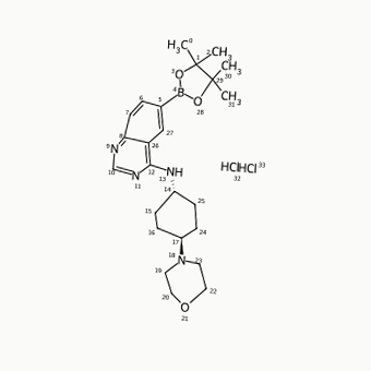 CC1(C)OB(c2ccc3ncnc(N[C@H]4CC[C@H](N5CCOCC5)CC4)c3c2)OC1(C)C.Cl.Cl